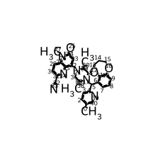 Cc1ccc(C(c2cccc3c2OCCCO3)N2C[C@H](C)N(c3cc(=O)n(C)c4ccc(C#N)nc34)C[C@H]2C)nc1